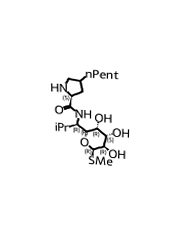 CCCCCC1CN[C@H](C(=O)N[C@H](C(C)C)[C@H]2O[C@H](SC)[C@H](O)[C@@H](O)[C@H]2O)C1